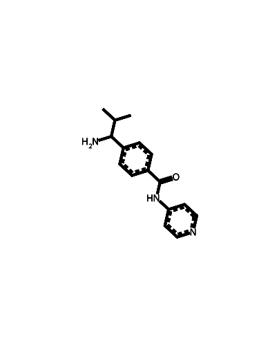 CC(C)C(N)c1ccc(C(=O)Nc2ccncc2)cc1